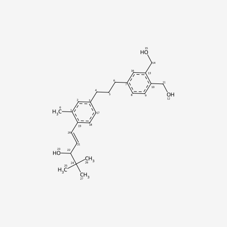 Cc1cc(CCCc2ccc(CO)c(CO)c2)ccc1/C=C/C(O)C(C)(C)C